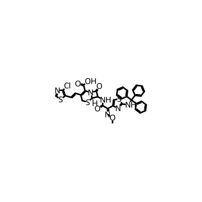 CO/N=C(/C(=O)NC1C(=O)N2C(C(=O)O)=C(/C=C/c3scnc3Cl)CS[C@H]12)c1csc(NC(c2ccccc2)(c2ccccc2)c2ccccc2)n1